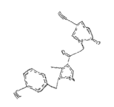 C#Cc1ccc(=O)n(CC(=O)c2cnn(Cc3cccc(C#N)c3)c2C)c1